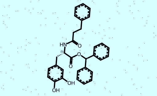 O=C(CCc1ccccc1)N[C@@H](Cc1ccc(O)c(O)c1)C(=O)OC(c1ccccc1)c1ccccc1